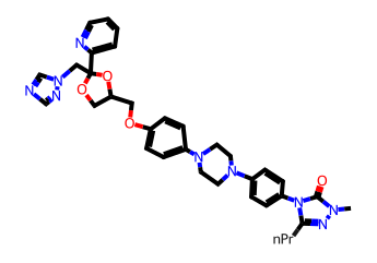 CCCc1nn(C)c(=O)n1-c1ccc(N2CCN(c3ccc(OCC4COC(Cn5cncn5)(c5ccccn5)O4)cc3)CC2)cc1